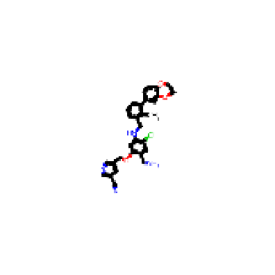 Cc1c(CNc2cc(OCc3cncc(C#N)c3)c(CN)cc2Cl)cccc1-c1ccc2c(c1)OCCO2